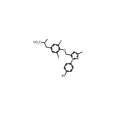 Cc1cc(COc2c(F)cc(CC(C)C(=O)O)cc2F)n(-c2ccc(C(C)C)cc2)n1